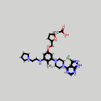 CC(=O)O.Cc1c(NCCN2CCCC2)cc(OCC2CCCO2)cc1N1CCN(c2ncnc3[nH]nc(Br)c23)CC1